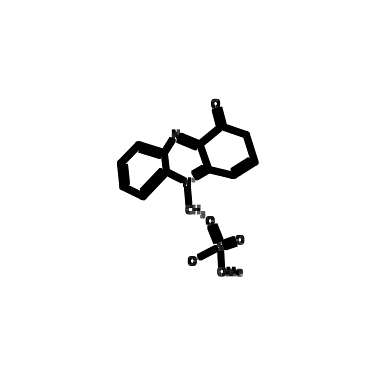 COS(=O)(=O)[O-].C[n+]1c2c(nc3ccccc31)C(=O)CC=C2